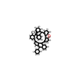 Cc1cccc2c3ccc4c(-c5ccccc5)c5ccccc5c(c5ccc6oc7cccc(c7c6c5)c5c6ccccc6c(c6ccccc65)c12)c4c3